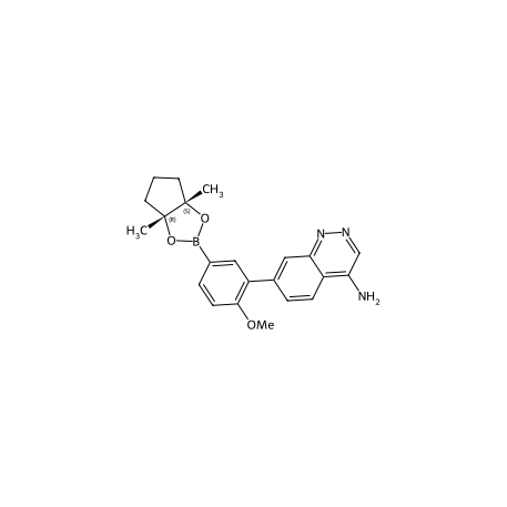 COc1ccc(B2O[C@]3(C)CCC[C@]3(C)O2)cc1-c1ccc2c(N)cnnc2c1